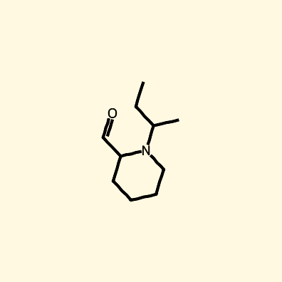 CCC(C)N1CCCCC1C=O